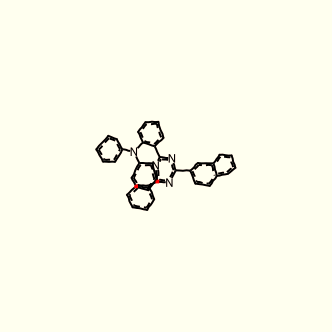 c1ccc(-c2nc(-c3ccc4ccccc4c3)nc(-c3ccccc3N(c3ccccc3)c3ccccc3)n2)cc1